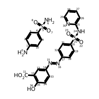 Nc1ccc(S(N)(=O)=O)cc1.O=C(O)c1cc(N=Nc2ccc(S(=O)(=O)Nc3ccccn3)cc2)ccc1O